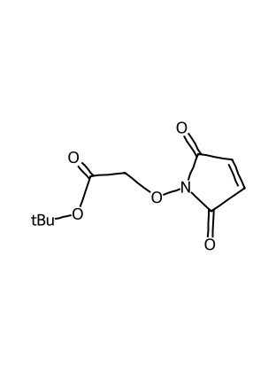 CC(C)(C)OC(=O)CON1C(=O)C=CC1=O